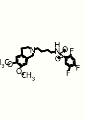 COc1cc2c(cc1OC)CN(CCCCNS(=O)(=O)c1cc(F)c(F)cc1F)CC2